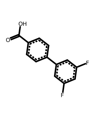 O=C(O)c1ccc(-c2cc(F)cc(F)c2)cc1